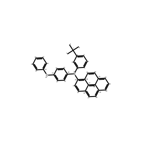 CC(C)(C)c1cccc(N(c2ccc(Oc3ccccc3)cc2)c2ccc3ccc4cccc5ccc2c3c45)c1